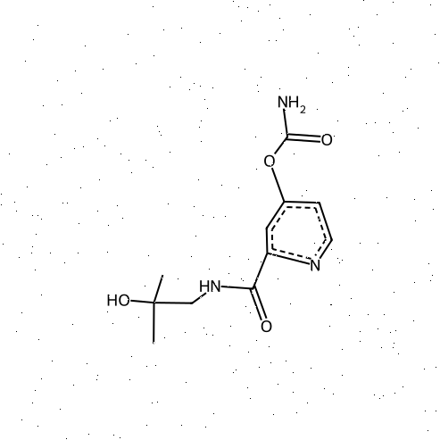 CC(C)(O)CNC(=O)c1cc(OC(N)=O)ccn1